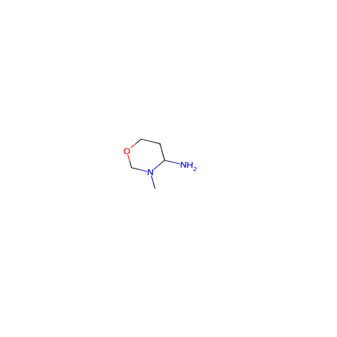 CN1COCCC1N